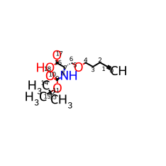 C#CCCCOC[C@H](NC(=O)OC(C)(C)C)C(=O)O